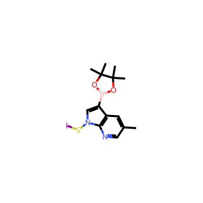 Cc1cnc2c(c1)c(B1OC(C)(C)C(C)(C)O1)cn2SI